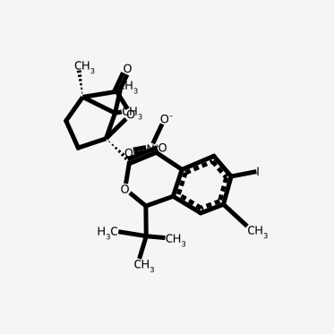 Cc1cc(C(OC(=O)[C@@]23CC[C@@](C)(C(=O)O2)C3(C)C)C(C)(C)C)c([N+](=O)[O-])cc1I